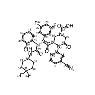 N#Cc1ccnc(N2C(=O)CN(C(=O)O)CC2C(=O)N(c2cc(F)cc(F)c2)[C@H](C(=O)NC2CCC(F)(F)CC2)c2ccccc2Cl)n1